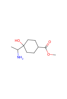 COC(=O)C1CCC(O)(C(C)N)CC1